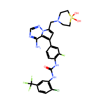 Nc1ncnn2c(CN3CCS(O)(O)CC3)cc(-c3ccc(NC(=O)Nc4cc(C(F)(F)F)ccc4Cl)c(F)c3)c12